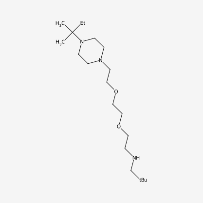 CCC(C)(C)N1CCN(CCOCCOCCNCC(C)(C)C)CC1